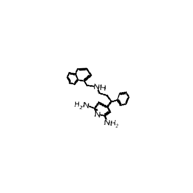 Nc1cc(C(CCNCc2cccc3ccccc23)c2ccccc2)cc(N)n1